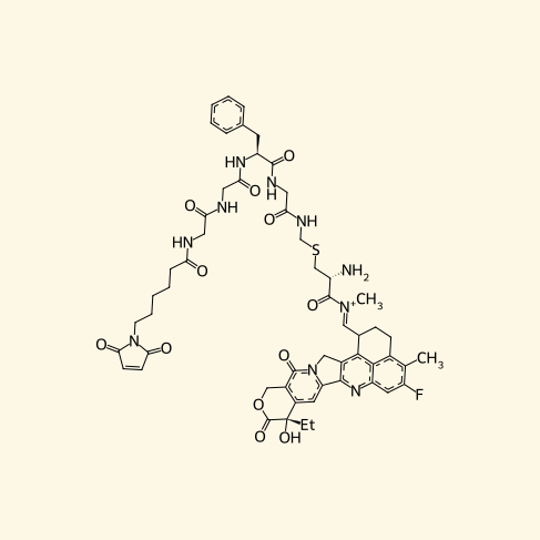 CC[C@@]1(O)C(=O)OCc2c1cc1n(c2=O)Cc2c-1nc1cc(F)c(C)c3c1c2C(/C=[N+](\C)C(=O)[C@@H](N)CSCNC(=O)CNC(=O)[C@H](Cc1ccccc1)NC(=O)CNC(=O)CNC(=O)CCCCCN1C(=O)C=CC1=O)CC3